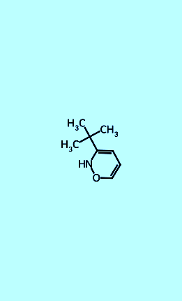 CC(C)(C)C1=CC=CON1